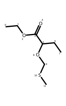 CCOC(=O)C(CC)OCSC